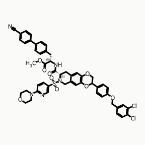 COC(=O)[C@H](Cc1ccc(-c2ccc(C#N)cc2)cc1)NC(=O)[C@@H]1Cc2cc3c(cc2CN1S(=O)(=O)c1ccc(N2CCOCC2)nc1)OC(c1ccc(OCc2ccc(Cl)c(Cl)c2)cc1)CO3